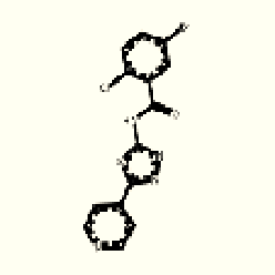 O=C(Nc1nnc(-c2ccncc2)s1)c1cc(Br)ccc1Cl